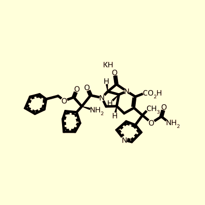 CC(OC(N)=O)(C1=C(C(=O)O)N2C(=O)[C@@H]3[C@H]2[C@H](C1)CN3C(=O)[C@@](N)(C(=O)OCc1ccccc1)c1ccccc1)c1ccncc1.[KH]